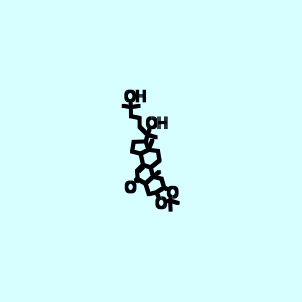 CC(C)(O)CCCC(C)(O)C1CCC2C3=CC(=O)C4CC5OC(C)(C)OC5CC4(C)C3CCC21C